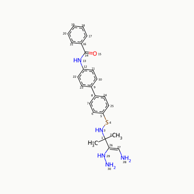 CC(C)(NSc1ccc(-c2ccc(NC(=O)c3ccccc3)cc2)cc1)/C(=C/N)NN